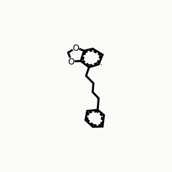 [c]1ccc2c(c1CCCCc1ccccc1)OCO2